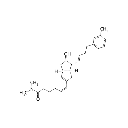 Cc1cccc(CC/C=C/[C@@H]2[C@H]3CC(/C=C\CCCC(=O)N(C)C)=C[C@H]3C[C@H]2O)c1